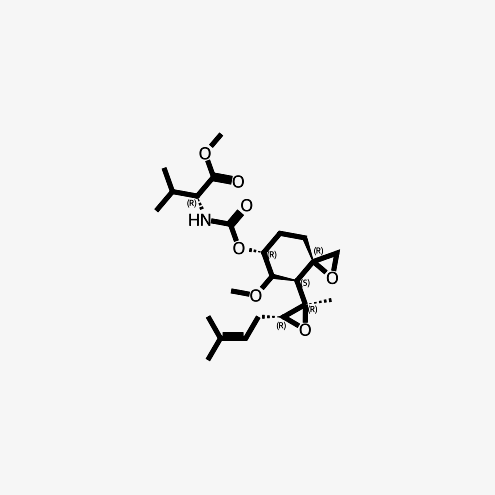 COC(=O)[C@H](NC(=O)O[C@@H]1CC[C@]2(CO2)[C@@H]([C@@]2(C)O[C@@H]2CC=C(C)C)C1OC)C(C)C